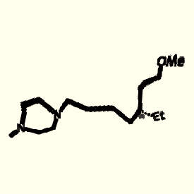 CC[C@H](CCCCN1CCN(C)CC1)CCOC